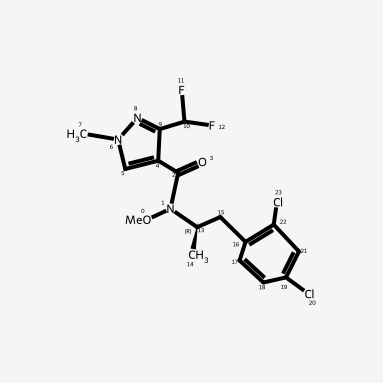 CON(C(=O)c1cn(C)nc1C(F)F)[C@H](C)Cc1ccc(Cl)cc1Cl